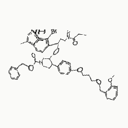 CCC(=O)NCCC(OC1CN(C(=O)OCc2ccccc2)CCC1c1ccc(OCCCOCc2ccccc2OC)cc1)c1ccc2c(C)c[nH]c2c1Br